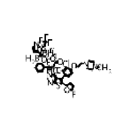 BC(B)(Oc1ccccc1C(F)(F)[C@@H](Oc1ncnc2sc(-c3ccc(F)o3)c(-c3ccc(OCCN4CCN(C)CC4)c(Cl)c3C)c12)C(=O)OCC)c1ccnn1CC(F)(F)F